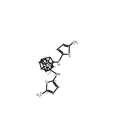 Cc1ccc(P[C]23[CH]4[CH]5[CH]6[C]2(Pc2ccc(C)o2)[Fe]54632789[CH]3[CH]2[CH]7[CH]8[CH]39)o1